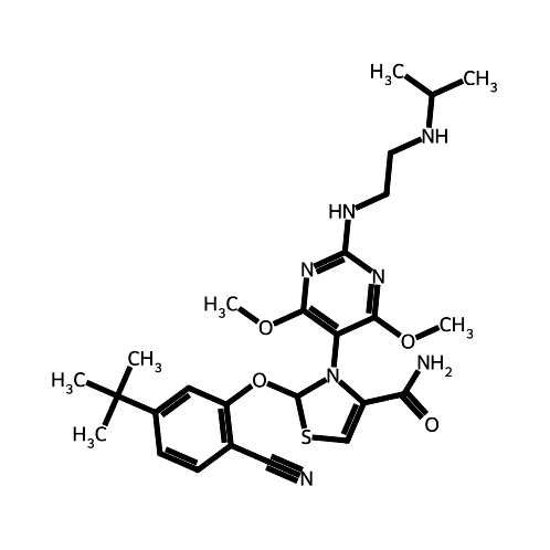 COc1nc(NCCNC(C)C)nc(OC)c1N1C(C(N)=O)=CSC1Oc1cc(C(C)(C)C)ccc1C#N